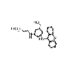 CCOC(=O)CCNc1cc(CO)cc(Nc2c3ccccc3nc3ccccc23)c1